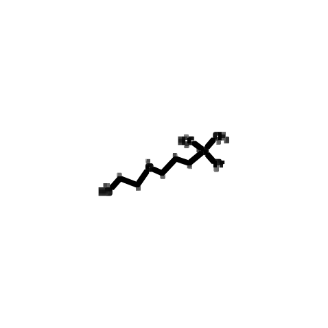 CC(C)[Si](C)(C)CCCOCCO